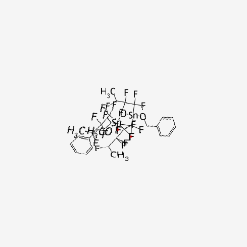 CC(F)C(F)(F)[C](F)(F)[Sn]([O]Cc1ccccc1)([O][Sn]([O]Cc1ccccc1)([C](F)(F)C(F)(F)C(C)F)[C](F)(F)C(F)(F)C(C)F)[C](F)(F)C(F)(F)C(C)F